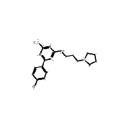 Clc1ccc(-c2nc(NCCCN3CCCC3)nc(C(Cl)(Cl)Cl)n2)cc1